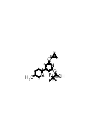 CC1CCC(c2ccnc(OC3CC3)c2)=NC1.O=C(O)C(F)(F)F